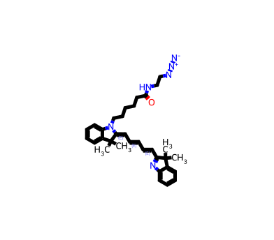 CC1(C)C(/C=C/C=C/C=C2/N(CCCCCC(=O)NCCN=[N+]=[N-])c3ccccc3C2(C)C)=Nc2ccccc21